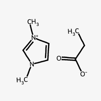 CCC(=O)[O-].Cn1cc[n+](C)c1